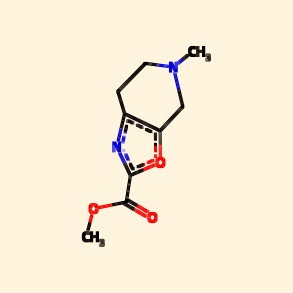 COC(=O)c1nc2c(o1)CN(C)CC2